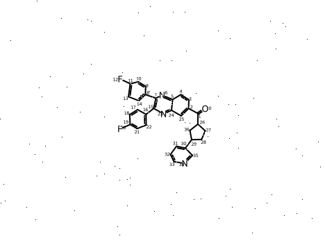 O=C(c1ccc2nc(-c3ccc(F)cc3)c(-c3ccc(F)cc3)nc2c1)C1CCC(c2cccnc2)C1